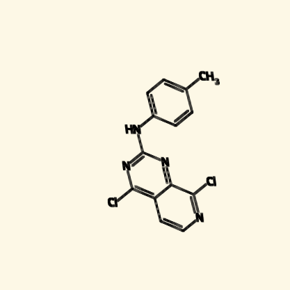 Cc1ccc(Nc2nc(Cl)c3ccnc(Cl)c3n2)cc1